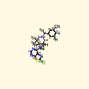 [2H]c1cc(C([2H])N2CC([2H])([2H])C([2H])(N([2H])c3ncnc4sc(Cl)nc34)C([2H])([2H])C2)cc(C#N)c1F